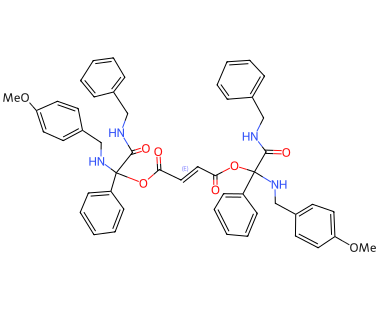 COc1ccc(CNC(OC(=O)/C=C/C(=O)OC(NCc2ccc(OC)cc2)(C(=O)NCc2ccccc2)c2ccccc2)(C(=O)NCc2ccccc2)c2ccccc2)cc1